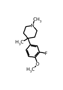 COc1ccc(C2(C)CCN(C)CC2)cc1F